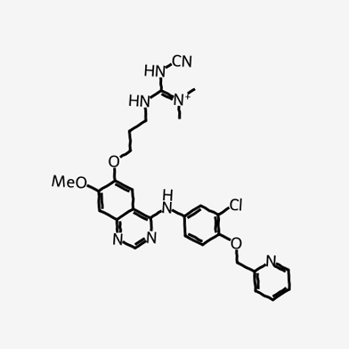 COc1cc2ncnc(Nc3ccc(OCc4ccccn4)c(Cl)c3)c2cc1OCCCNC(NC#N)=[N+](C)C